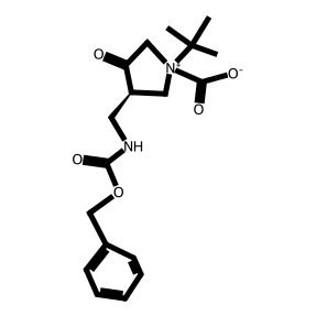 CC(C)(C)[N+]1(C(=O)[O-])CC(=O)[C@H](CNC(=O)OCc2ccccc2)C1